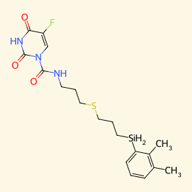 Cc1cccc([SiH2]CCCSCCCNC(=O)n2cc(F)c(=O)[nH]c2=O)c1C